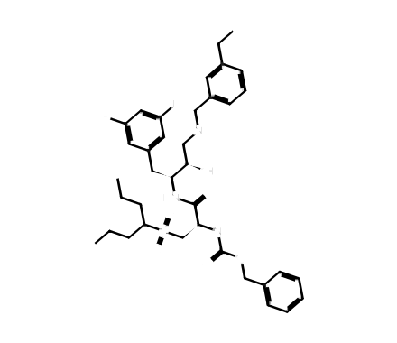 CCCC(CCC)S(=O)(=O)C[C@H](NC(=O)OCc1ccccc1)C(=O)N[C@@H](Cc1cc(F)cc(F)c1)[C@H](O)CNCc1cccc(CC)c1